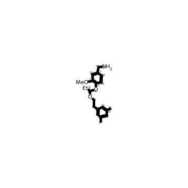 CCC(OCCc1cc(C)cc(C)c1)Oc1ccc(CN)cc1OC